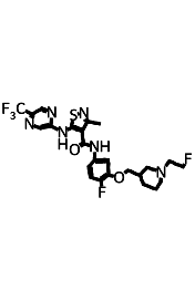 Cc1nsc(Nc2cnc(C(F)(F)F)cn2)c1C(=O)Nc1ccc(F)c(OCC2CCCN(CCF)C2)c1